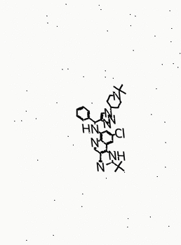 C[C@@H](Nc1c(C#N)cnc2c(N[C@@H](c3ccccc3)c3cn(C4CCN(C(C)(C)C)CC4)nn3)cc(Cl)cc12)C(C)(C)C